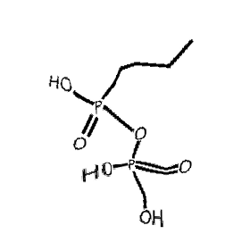 CCCP(=O)(O)OP(=O)(O)O